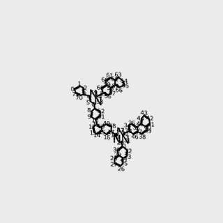 c1ccc(-c2cc(-c3ccc(-c4cccc5cc(-c6nc(-c7ccc8ccccc8c7)nc(-c7ccc8c(ccc9ccccc98)c7)n6)ccc45)cc3)nc(-c3ccc4c(ccc5ccccc54)c3)n2)cc1